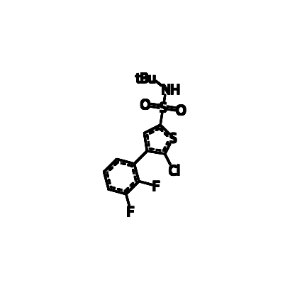 CC(C)(C)NS(=O)(=O)c1cc(-c2cccc(F)c2F)c(Cl)s1